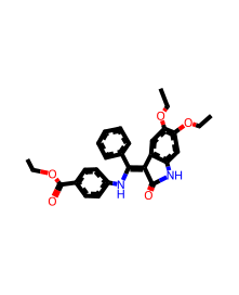 CCOC(=O)c1ccc(N/C(=C2\C(=O)Nc3cc(OCC)c(OCC)cc32)c2ccccc2)cc1